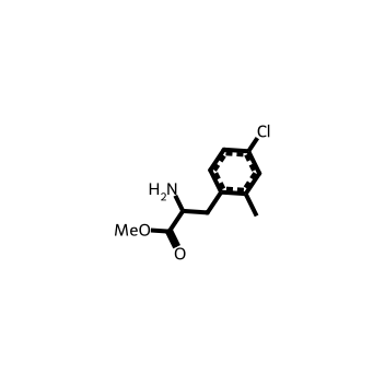 COC(=O)C(N)Cc1ccc(Cl)cc1C